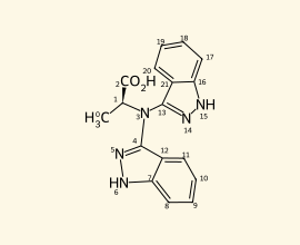 C[C@@H](C(=O)O)N(c1n[nH]c2ccccc12)c1n[nH]c2ccccc12